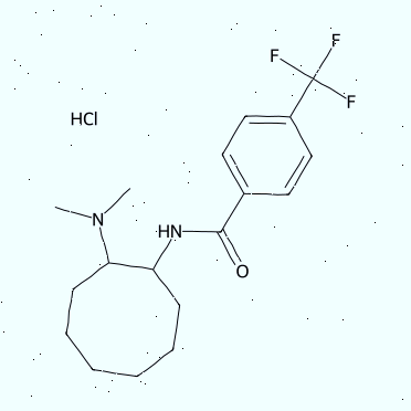 CN(C)C1CCCCCCC1NC(=O)c1ccc(C(F)(F)F)cc1.Cl